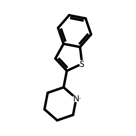 c1ccc2sc(C3CCCC[N]3)cc2c1